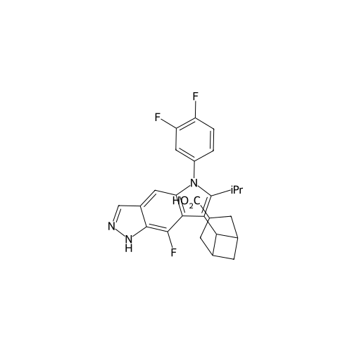 CC(C)c1c(C2C3CC(C(=O)O)CC2C3)c2c(F)c3[nH]ncc3cc2n1-c1ccc(F)c(F)c1